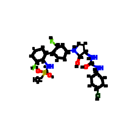 CS(=O)(=O)Nc1c(F)cccc1-c1ccc(N2CC[C@@H](NC(=O)Nc3ccc(Cl)cc3)C2=O)cc1F